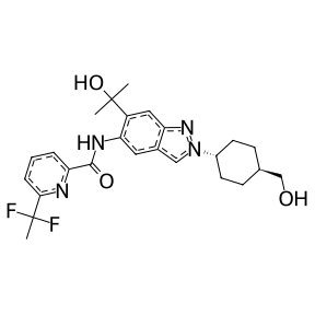 CC(C)(O)c1cc2nn([C@H]3CC[C@H](CO)CC3)cc2cc1NC(=O)c1cccc(C(C)(F)F)n1